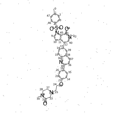 Cc1ccc(S(=O)(=O)n2ccc3c(-c4ccc5nc(-c6ccc(OCCN7CCN(C)C(=O)C7)cc6)ccc5c4)cn(C)c(=O)c32)cc1